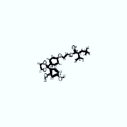 C=C(C)C(CC(C)(C)C)C(=O)OCCOc1ccc(C2(c3ccc(OC)cc3OC)OCCO2)cc1